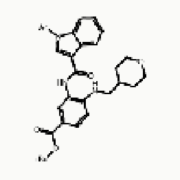 CC(=O)n1cc(C(=O)Nc2cc(C(=O)OC(C)(C)C)ccc2NCC2CCOCC2)c2ccccc21